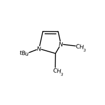 CC1N(C)C=CN1C(C)(C)C